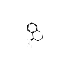 ON=C1CCSc2ccccc21